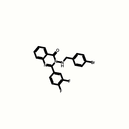 O=c1c2ccccc2nc(-c2ccc(F)c(F)c2)n1NCc1ccc(Br)cc1